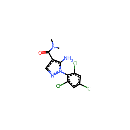 CN(C)C(=O)c1cnn(-c2c(Cl)cc(Cl)cc2Cl)c1N